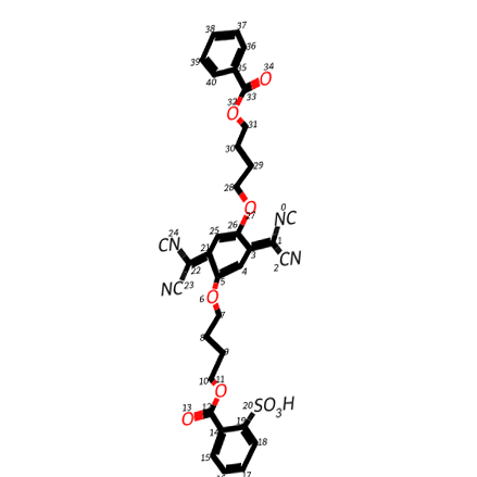 [C-]#[N+]/C(C#N)=c1/cc(OCCCCOC(=O)c2ccccc2S(=O)(=O)O)/c(=C(\C#N)[N+]#[C-])cc1OCCCCOC(=O)c1ccccc1